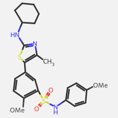 COc1ccc(NS(=O)(=O)c2cc(-c3sc(NC4CCCCC4)nc3C)ccc2OC)cc1